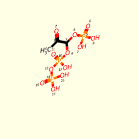 CC(=O)C(OP(=O)(O)O)OP(=O)(O)OP(=O)(O)O